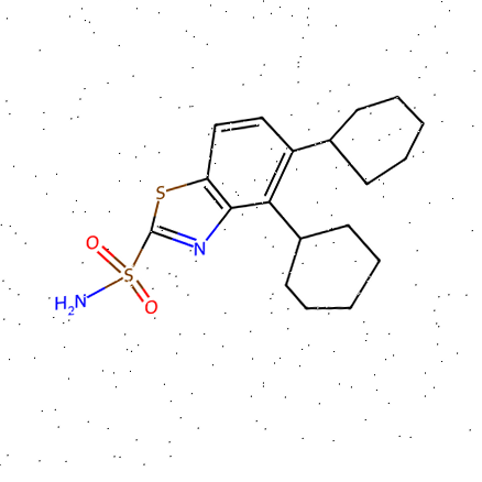 NS(=O)(=O)c1nc2c(C3CCCCC3)c(C3CCCCC3)ccc2s1